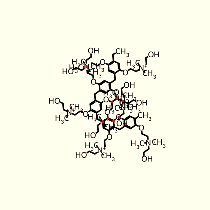 CCc1cc(OCC[N+](C)(C)CCO)c(Cc2cc(OCC[N+](C)(C)CCO)c(Cc3cc(OCC[N+](C)(C)CCO)c(Cc4cc(OCC[N+](C)(C)CCO)c(Cc5cc(OCC[N+](C)(C)CCO)c(C)cc5OCC[N+](C)(C)CCO)cc4OCC[N+](C)(C)CCO)cc3OCC[N+](C)(C)CCO)cc2OCC[N+](C)(C)CCO)cc1OCC[N+](C)(C)CCO